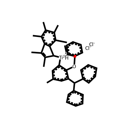 CC1=C(C)[CH]([Ti+2]([c]2cc(C)cc(C(c3ccccc3)c3ccccc3)c2Oc2ccccc2)[SiH](C)C)c2c(C)c(C)c(C)c(C)c21.[Cl-].[Cl-]